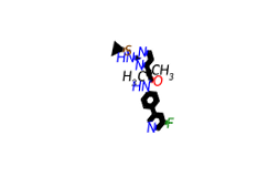 CC(C)(C(=O)Nc1ccc(-c2cncc(F)c2)cc1)c1ccnc(NSC2CC2)n1